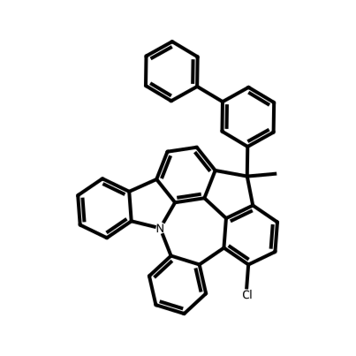 CC1(c2cccc(-c3ccccc3)c2)c2ccc(Cl)c3c2-c2c1ccc1c4ccccc4n(c21)-c1ccccc1-3